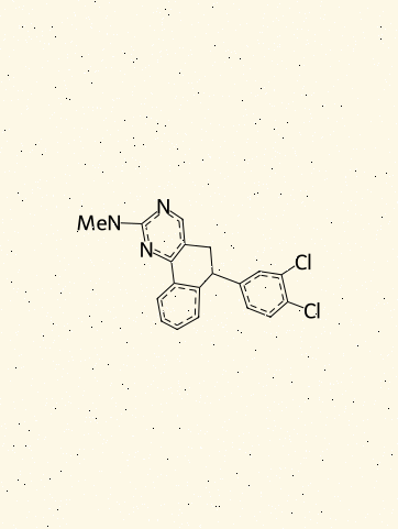 CNc1ncc2c(n1)-c1ccccc1C(c1ccc(Cl)c(Cl)c1)C2